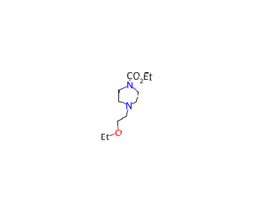 CCOCCN1CCN(C(=O)OCC)CC1